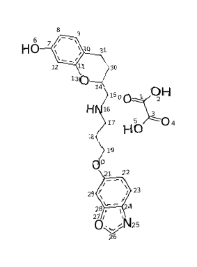 O=C(O)C(=O)O.Oc1ccc2c(c1)OC(CNCCCOc1ccc3ncoc3c1)CC2